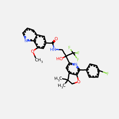 COc1cc(C(=O)NCC(O)(c2cc3c(c(-c4ccc(F)cc4)n2)OCC3(C)C)C(F)(F)F)cc2cccnc12